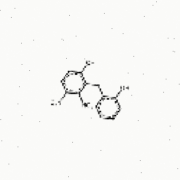 O=[N+]([O-])c1ccc(O)c(Cc2ccccc2O)c1[N+](=O)[O-]